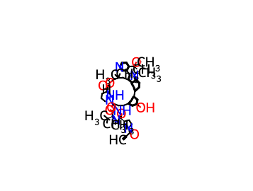 C#CC(=O)N1CC[C@H](C(=O)N(C)[C@H](C(=O)N[C@H]2Cc3cc(O)cc(c3)-c3ccc4c(c3)c(c(-c3cnccc3[C@H](C)OC)n4CC)CC(C)(C)COC(=O)[C@@H]3CCCN(N3)C2=O)C(C)C)C1